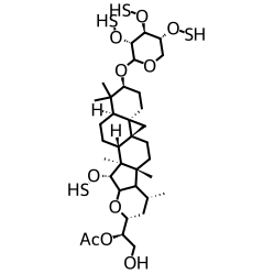 CC(=O)O[C@H](CO)[C@H]1C[C@@H](C)C2C(O1)[C@H](OS)[C@@]1(C)[C@@H]3CC[C@H]4C(C)(C)[C@@H](OC5OC[C@@H](OS)[C@H](OS)[C@H]5OS)CC[C@@]45C[C@@]35CC[C@]21C